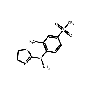 NN(C1=NCCS1)c1ccc(S(=O)(=O)C(F)(F)F)cc1C(F)(F)F